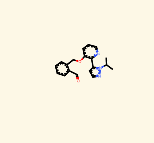 CC(C)n1nccc1-c1ncccc1OCc1ccccc1C=O